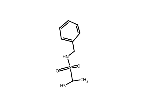 CC(S)S(=O)(=O)NCc1ccccc1